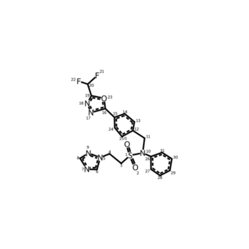 O=S(=O)(CCn1cncn1)N(Cc1ccc(-c2nnc(C(F)F)o2)cc1)c1ccccc1